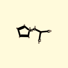 ClC(Cl)O[SiH]1C=CC=C1